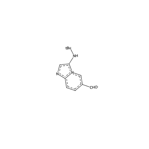 CC(C)(C)Nc1cnc2ccc([C]=O)cn12